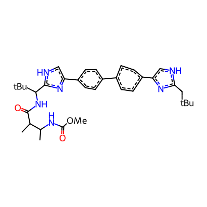 COC(=O)NC(C)C(C)C(=O)NC(c1nc(-c2ccc(-c3ccc(-c4c[nH]c(CC(C)(C)C)n4)cc3)cc2)c[nH]1)C(C)(C)C